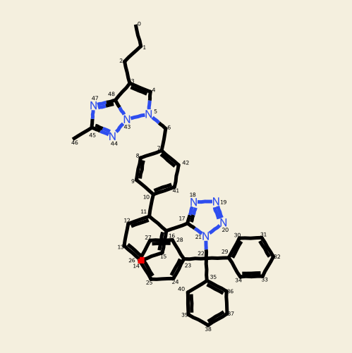 CCCc1cn(Cc2ccc(-c3ccccc3-c3nnnn3C(c3ccccc3)(c3ccccc3)c3ccccc3)cc2)n2nc(C)nc12